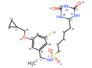 C[C@@H](NS(=O)(=O)CCCCCC1NC(=O)NC(=O)N1)c1cc(F)cc(OCC2CC2)c1